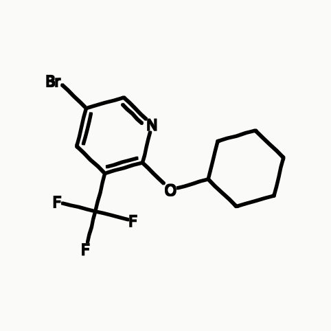 FC(F)(F)c1cc(Br)cnc1OC1CCCCC1